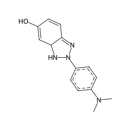 CN(C)c1ccc(N2N=C3C=CC(O)=CC3N2)cc1